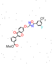 COC(=O)c1cccc(-c2coc3cc(OCc4noc(-c5cc(F)cc(C(F)(F)F)c5)n4)ccc3c2=O)c1